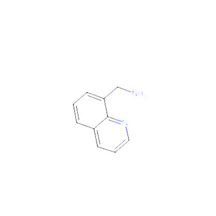 C[C@H](N)c1cccc2cccnc12